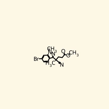 COC(=O)CCC(C)(C#N)c1nn(C)c2cc(Br)ccc12